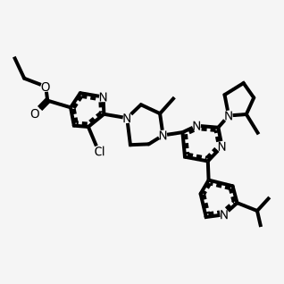 CCOC(=O)c1cnc(N2CCN(c3cc(-c4ccnc(C(C)C)c4)nc(N4CCCC4C)n3)C(C)C2)c(Cl)c1